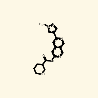 Cn1cc(-c2cc3cc(NC(=O)C4CCCNC4)ncc3cn2)cn1